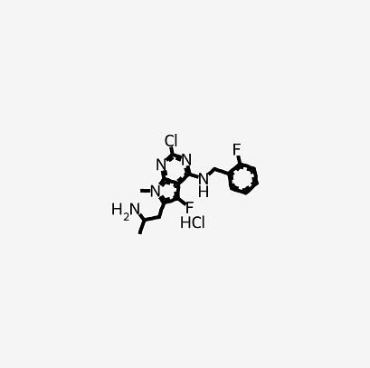 CC(N)Cc1c(F)c2c(NCc3ccccc3F)nc(Cl)nc2n1C.Cl